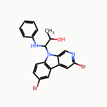 CC(O)C(Nc1ccccc1)n1c2ccc(Br)cc2c2cc(Br)ncc21